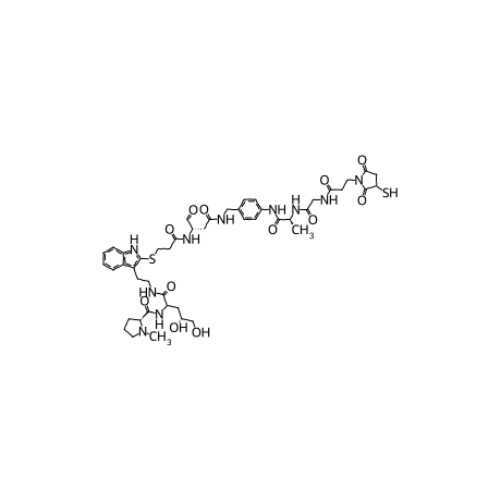 C[C@H](NC(=O)CNC(=O)CCN1C(=O)CC(S)C1=O)C(=O)Nc1ccc(CNC(=O)C[C@@H](C=O)NC(=O)CCSc2[nH]c3ccccc3c2CCNC(=O)C(C[C@@H](O)CO)NC(=O)[C@@H]2CCCN2C)cc1